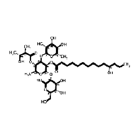 CCC[C@H](O)CCCCCCCCCC(=O)O[C@H]1[C@H](O[C@H]2C(O)O[C@H](CO)[C@@H](O)[C@@H]2O)O[C@@H](C)[C@H](OC(=O)[C@H](C)[C@@H](C)O)[C@H]1O[C@@H]1O[C@@H](C)[C@H](O)[C@@H](O)[C@H]1O